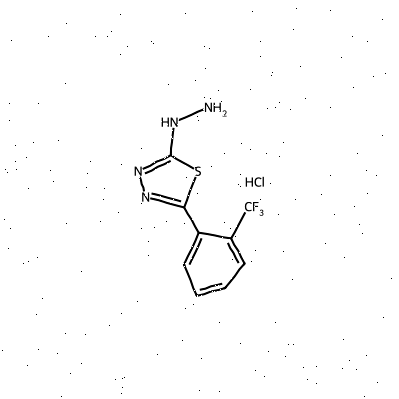 Cl.NNc1nnc(-c2ccccc2C(F)(F)F)s1